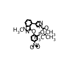 Cn1nc(Oc2ccc([N+](=O)[O-])cc2F)c2c(-c3cnn(C(=O)OC(C)(C)C)c3)cccc21